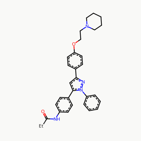 CCC(=O)Nc1ccc(-c2cc(-c3ccc(OCCN4CCCCC4)cc3)nn2-c2ccccc2)cc1